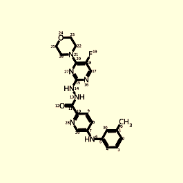 Cc1cccc(Nc2ccc(C(=O)NNc3ncc(F)c(N4CCOCC4)n3)nc2)c1